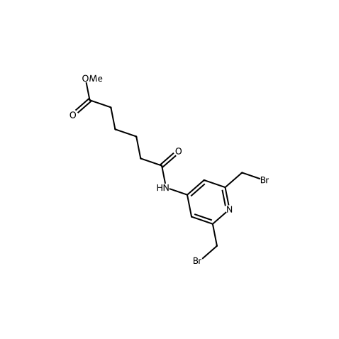 COC(=O)CCCCC(=O)Nc1cc(CBr)nc(CBr)c1